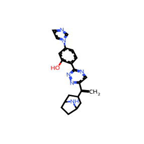 C=C(c1cnc(-c2ccc(-n3ccnc3)cc2O)nn1)C1CC2CCC(C1)N2